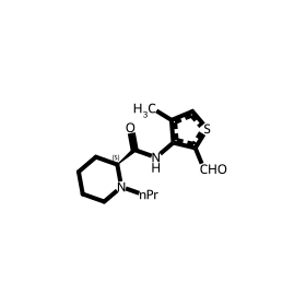 CCCN1CCCC[C@H]1C(=O)Nc1c(C)csc1C=O